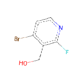 OCc1c(Br)ccnc1F